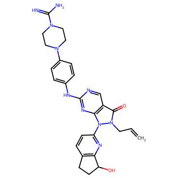 C=CCn1c(=O)c2cnc(Nc3ccc(N4CCN(C(=N)N)CC4)cc3)nc2n1-c1ccc2c(n1)C(O)CC2